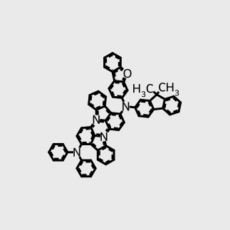 CC1(C)c2ccccc2-c2ccc(N(c3ccc4c(c3)oc3ccccc34)c3ccc4c5c3c3ccccc3n5c3ccc(N(c5ccccc5)c5ccccc5)c5c6ccccc6n4c53)cc21